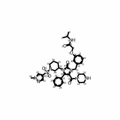 CC(C)NC(=O)COc1cccc(Cn2c(C(=O)N3CCNCC3)c(-c3ccccc3)n(C3CCCN(S(=O)(=O)c4cnn(C)c4)C3)c2=O)c1